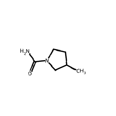 CC1CCN(C(N)=O)C1